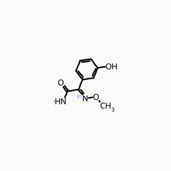 CO/N=C(/C([NH])=O)c1cccc(O)c1